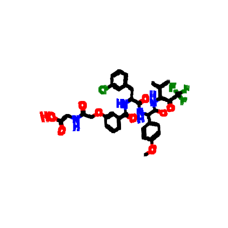 COc1ccc(C(NC(=O)C(Cc2cccc(Cl)c2)NC(=O)c2cccc(OCC(=O)NCC(=O)O)c2)C(=O)NC(C(=O)C(F)(F)F)C(C)C)cc1